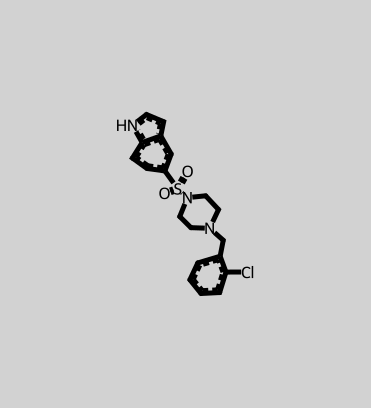 O=S(=O)(c1ccc2[nH]ccc2c1)N1CCN(Cc2ccccc2Cl)CC1